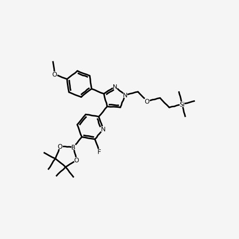 COc1ccc(-c2nn(COCC[Si](C)(C)C)cc2-c2ccc(B3OC(C)(C)C(C)(C)O3)c(F)n2)cc1